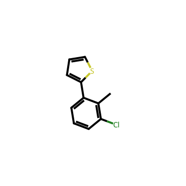 Cc1c(Cl)cccc1-c1cccs1